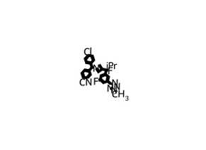 CC(C)C(F)(c1cc(F)cc(-c2nnn(C)n2)c1)C1CN(C(c2ccc(Cl)cc2)c2cccc(C#N)c2)C1